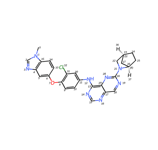 Cn1cnc2cc(Oc3ccc(Nc4ncnc5cnc(N6C[C@H]7CC[C@@H]6C7)nc45)cc3Cl)ccc21